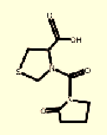 O=C(O)C1CSCN1C(=O)N1CCCC1=O